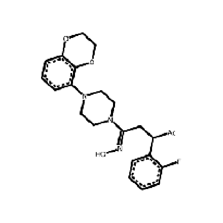 CC(=O)C(C/C(=N/O)N1CCN(c2cccc3c2OCCO3)CC1)c1ccccc1F